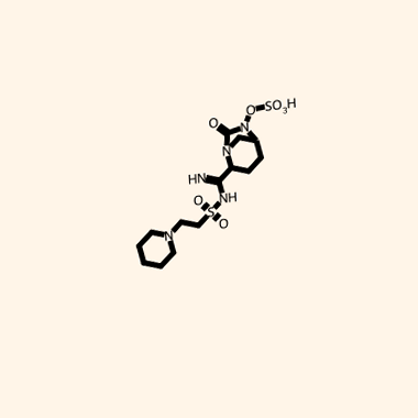 N=C(NS(=O)(=O)CCN1CCCCC1)C1CCC2CN1C(=O)N2OS(=O)(=O)O